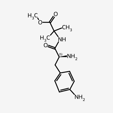 COC(=O)C(C)(C)NC(=O)[C@@H](N)Cc1ccc(N)cc1